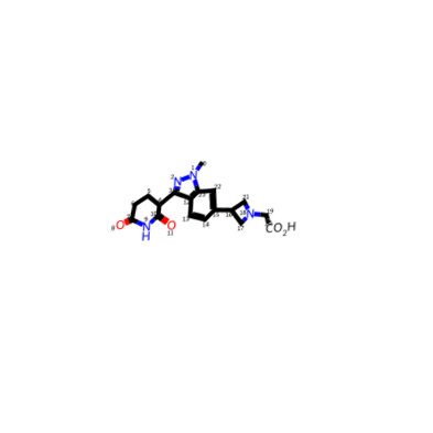 Cn1nc(C2CCC(=O)NC2=O)c2ccc(C3CN(CC(=O)O)C3)cc21